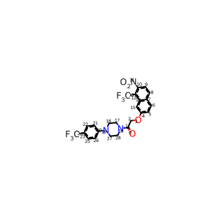 O=C(COc1ccc2ccc([N+](=O)[O-])c(C(F)(F)F)c2c1)N1CCN(c2ccc(C(F)(F)F)cc2)CC1